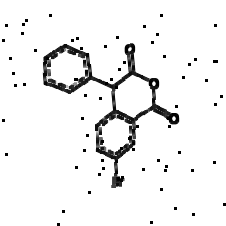 O=C1OC(=O)C(c2ccccc2)c2ccc(Br)cc21